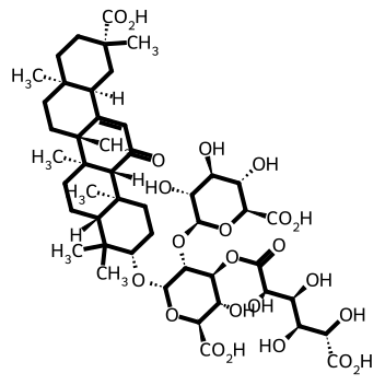 CC1(C)[C@@H](O[C@H]2O[C@H](C(=O)O)[C@@H](O)[C@H](OC(=O)[C@H](O)[C@@H](O)[C@H](O)[C@H](O)C(=O)O)[C@H]2O[C@@H]2O[C@H](C(=O)O)[C@@H](O)[C@H](O)[C@H]2O)CC[C@]2(C)[C@H]3C(=O)C=C4[C@@H]5C[C@@](C)(C(=O)O)CC[C@]5(C)CC[C@@]4(C)[C@]3(C)CC[C@@H]12